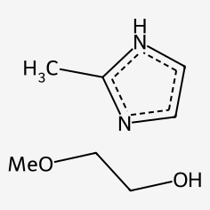 COCCO.Cc1ncc[nH]1